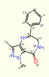 Cc1nn(C(C)C)c2c1N=C(c1ccccc1)CNC2=O